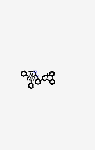 C=C/C=C\C(=C\C1=CC(C)CC=C1C1=CC2c3ccccc3-c3ccccc3C2(C)C=C1)C1=NC(c2ccccc2)=NC(c2ccccc2)N1C